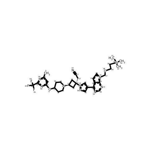 Cc1cc(OC2CCN([C@H]3C[C@@](CC#N)(n4cc(-c5ncnc6c5ccn6COCC[Si](C)(C)C)cn4)C3)CC2)nc(C(F)(F)F)n1